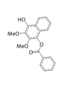 COc1c(OC)c(OC(=O)c2ccccc2)c2ccccc2c1O